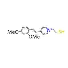 COc1ccc(/C=C/c2cc[n+](CCS)cc2)c(OC)c1